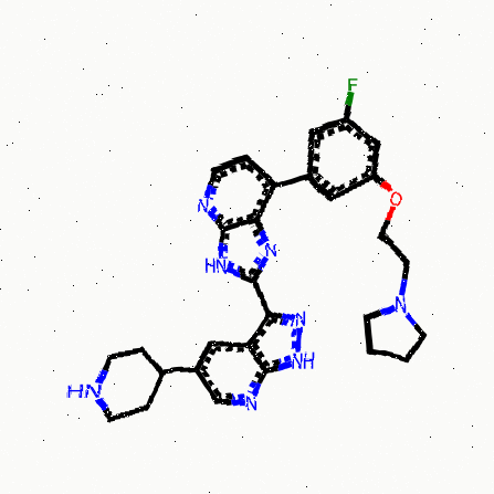 Fc1cc(OCCN2CCCC2)cc(-c2ccnc3[nH]c(-c4n[nH]c5ncc(C6CCNCC6)cc45)nc23)c1